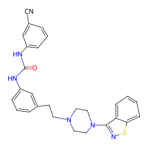 N#Cc1cccc(NC(=O)Nc2cccc(CCN3CCN(c4nsc5ccccc45)CC3)c2)c1